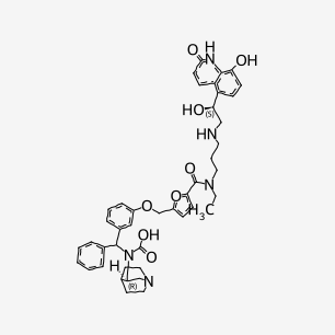 CCN(CCCNC[C@@H](O)c1ccc(O)c2[nH]c(=O)ccc12)C(=O)c1ccc(COc2cccc(C(c3ccccc3)N(C(=O)O)[C@H]3CN4CCC3CC4)c2)o1